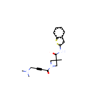 CN(C)CC#CC(=O)N1CC(C)(C(=O)Nc2cc3ccccc3s2)C1